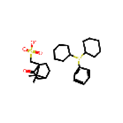 CC1(C)C2CCC1(CS(=O)(=O)[O-])C(=O)C2.c1ccc([S+](C2CCCCC2)C2CCCCC2)cc1